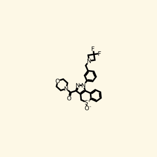 O=C(c1nn(-c2cccc(CN3CC(F)(F)C3)c2)c2c1C[S+]([O-])c1ccccc1-2)N1CCOCC1